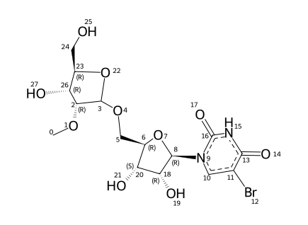 CO[C@H]1C(OC[C@H]2O[C@@H](n3cc(Br)c(=O)[nH]c3=O)[C@H](O)[C@@H]2O)O[C@H](CO)[C@H]1O